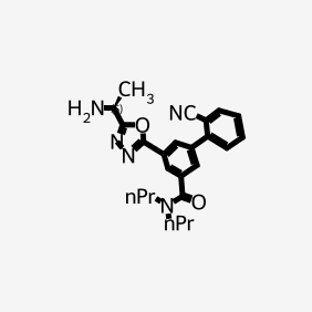 CCCN(CCC)C(=O)c1cc(-c2nnc([C@H](C)N)o2)cc(-c2ccccc2C#N)c1